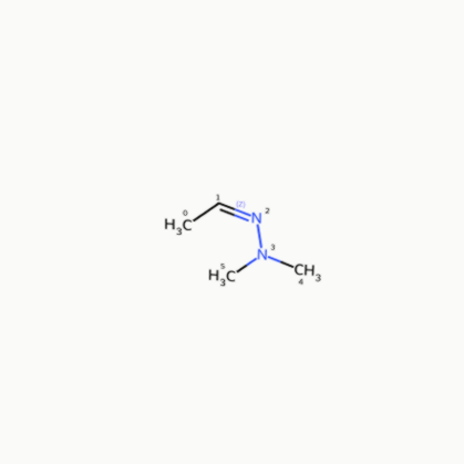 C/C=N\N(C)C